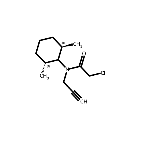 C#CCN(C(=O)CCl)C1[C@H](C)CCC[C@H]1C